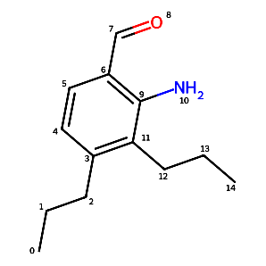 CCCc1ccc(C=O)c(N)c1CCC